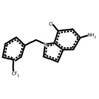 Nc1cc(Cl)c2c(ccn2Cc2cccc(C(F)(F)F)c2)c1